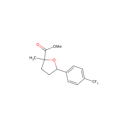 COC(=O)C1(C)CCC(c2ccc(C(F)(F)F)cc2)O1